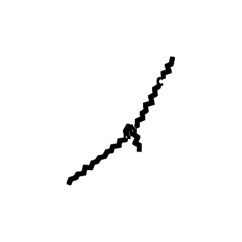 CCCCCCCCCCCCCCCCCCn1cc[n+](CCCCCCCCCCCCCCCCC)c1CCCC